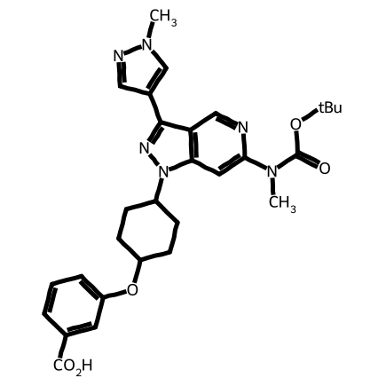 CN(C(=O)OC(C)(C)C)c1cc2c(cn1)c(-c1cnn(C)c1)nn2C1CCC(Oc2cccc(C(=O)O)c2)CC1